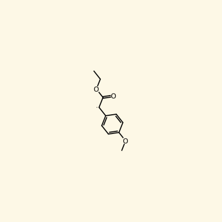 CCOC(=O)[CH]c1ccc(OC)cc1